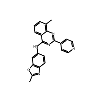 Cc1nc2ccc(Nc3nc(-c4ccncc4)nc4c(C)cccc34)cc2o1